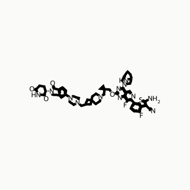 N#Cc1c(N)sc2c(-c3ncc4c(N5CC6CCC(C5)N6)nc(OCC5(CN6CCC7(CC6)CC(CN6CCN(c8ccc9c(c8)CN([C@H]8CCC(=O)NC8=O)C9=O)CC6)C7)CC5)nc4c3F)ccc(F)c12